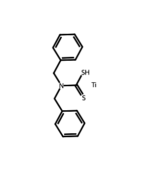 S=C(S)N(Cc1ccccc1)Cc1ccccc1.[Ti]